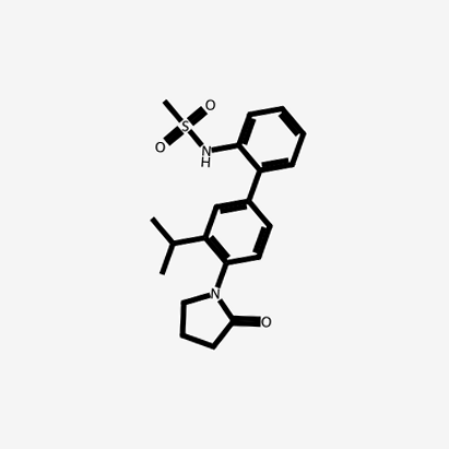 CC(C)c1cc(-c2ccccc2NS(C)(=O)=O)ccc1N1CCCC1=O